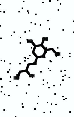 OCC(O)CO[C@H]1CC(O)[C@@H](O)C(CO)O1